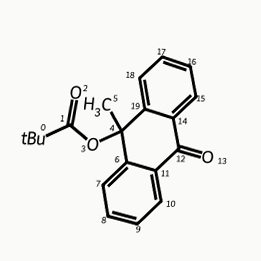 CC(C)(C)C(=O)OC1(C)c2ccccc2C(=O)c2ccccc21